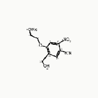 COCCOc1cc([N+](=O)[O-])c(C#N)cc1CO